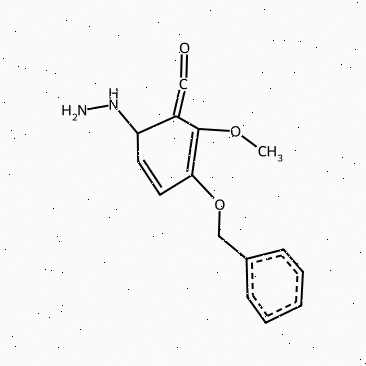 COC1=C(OCc2ccccc2)C=CC(NN)C1=C=O